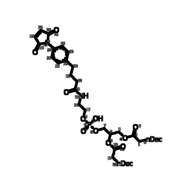 CCCCCCCCCCCC(=O)OCC(COP(=O)(O)OCCNC(=O)CCCc1ccc(N2C(=O)C=CC2=O)cc1)OC(=O)CCCCCCCCCCC